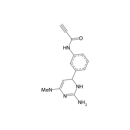 C#CC(=O)Nc1cccc(C2C=C(NC)N=C(N)N2)c1